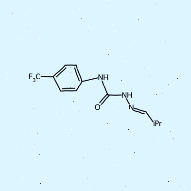 CC(C)C=NNC(=O)Nc1ccc(C(F)(F)F)cc1